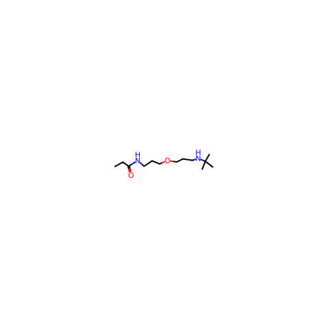 CCC(=O)NCCCOCCCNC(C)(C)C